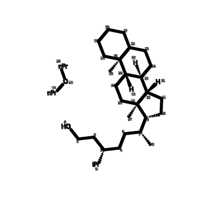 CC(C)[C@H](CCO)CC[C@@H](C)[C@H]1CC[C@H]2[C@@H]3CCC4CCCC[C@]4(C)[C@H]3CC[C@]12C.CCCOCCC